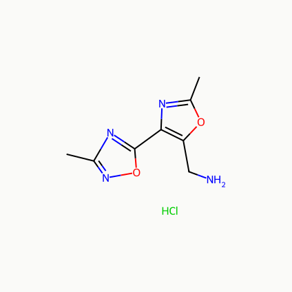 Cc1noc(-c2nc(C)oc2CN)n1.Cl